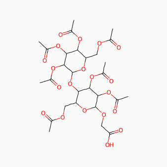 CC(=O)OCC1OC(OC2C(COC(C)=O)OC(OCC(=O)O)C(OC(C)=O)C2OC(C)=O)C(OC(C)=O)C(OC(C)=O)C1OC(C)=O